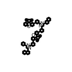 c1ccc(-c2cc(-c3cccc4ccccc34)nc(-c3cccc(-c4ccc5c(c4)C4(c6cc(-c7cccc(-c8cc(-c9ccc%10ccccc%10c9)nc(-c9cccc(-c%10ccc%11c(c%10)C%10(c%12ccccc%12O%11)c%11ccccc%11-c%11ccccc%11%10)c9)n8)c7)ccc6O5)c5ccccc5-c5ccccc54)c3)n2)cc1